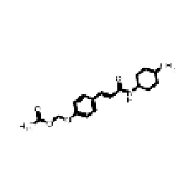 CC(=O)OCOc1ccc(/C=C/C(=O)NC2CCC(C)CC2)cc1